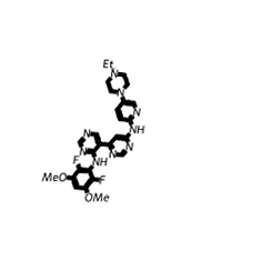 CCN1CCN(c2ccc(Nc3cc(-c4cncnc4Nc4c(F)c(OC)cc(OC)c4F)ncn3)nc2)CC1